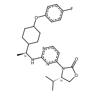 CC(C)[C@H]1COC(=O)N1c1ccnc(N[C@@H](C)C2CCC(Oc3ccc(F)cc3)CC2)n1